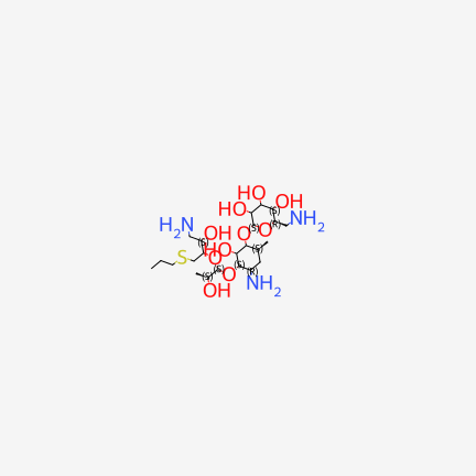 CCCSCC(O[C@H](O[C@@H]1C(O)C(O[C@H]2O[C@H](CN)[C@@H](O)C(O)C2O)[C@@H](C)C[C@H]1N)[C@H](C)O)[C@@H](O)CN